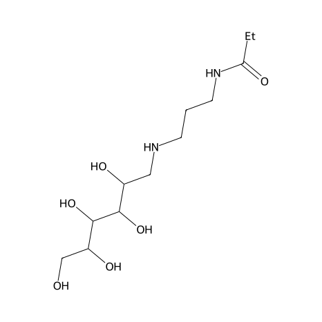 CCC(=O)NCCCNCC(O)C(O)C(O)C(O)CO